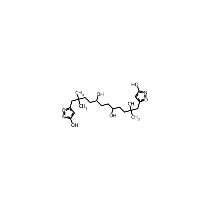 CC(C)(CCC(O)CCC(O)CCC(C)(C)Cc1cc(O)no1)Cc1cc(O)no1